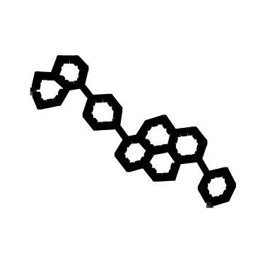 c1cncc(-c2ccc3ccc4c(-c5ccc(-c6cccc7cnccc67)cc5)ccc5ccc2c3c54)c1